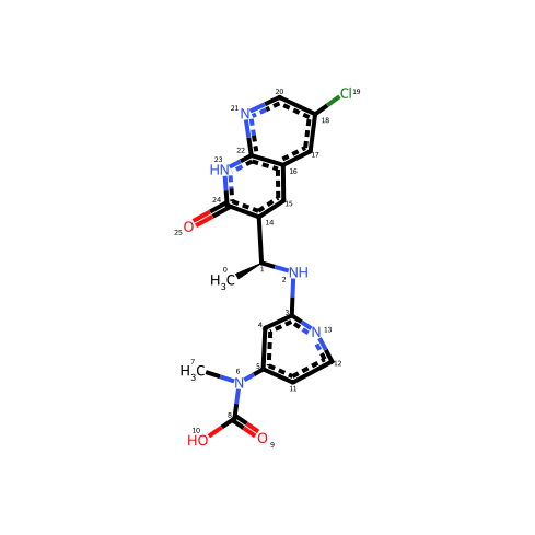 C[C@H](Nc1cc(N(C)C(=O)O)ccn1)c1cc2cc(Cl)cnc2[nH]c1=O